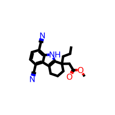 CCCC1(CC(=O)OC)CCCc2c1[nH]c1c(C#N)ccc(C#N)c21